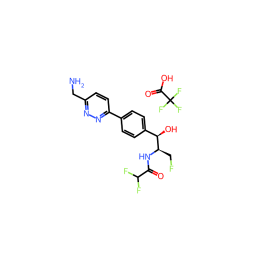 NCc1ccc(-c2ccc([C@@H](O)[C@@H](CF)NC(=O)C(F)F)cc2)nn1.O=C(O)C(F)(F)F